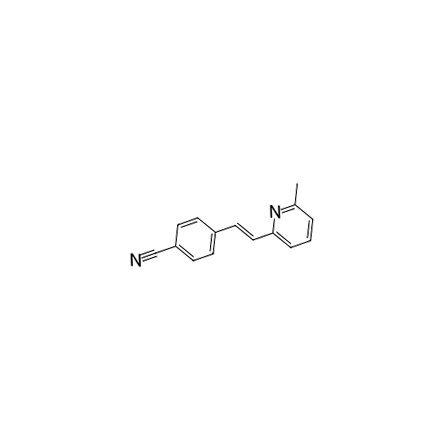 Cc1cccc(C=Cc2ccc(C#N)cc2)n1